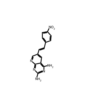 Nc1nc(N)c2cc(C=Cc3ccc([N+](=O)[O-])cc3)cnc2n1